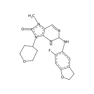 Cn1c2c(n(C3CCOCC3)c1=O)NC(Nc1cc3c(cc1F)OCC3)N=C2